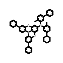 Cc1ccc(-c2ccccc2)cc1N(c1cc2c3c(c1)Oc1cc(-c4ccccc4)ccc1B3c1ccc(-c3ccccc3)cc1O2)c1cc(C2CCCCC2)ccc1C